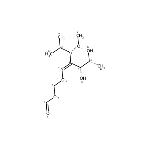 CO[C@H](/C(=N/OCOC=O)[C@@H](O)[C@@H](C)O)C(C)C